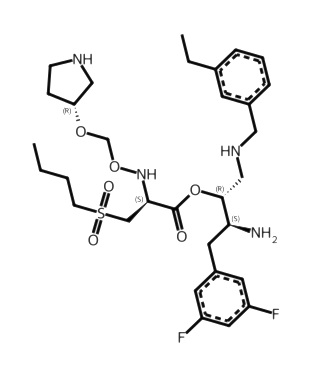 CCCCS(=O)(=O)C[C@@H](NOCO[C@@H]1CCNC1)C(=O)O[C@H](CNCc1cccc(CC)c1)[C@@H](N)Cc1cc(F)cc(F)c1